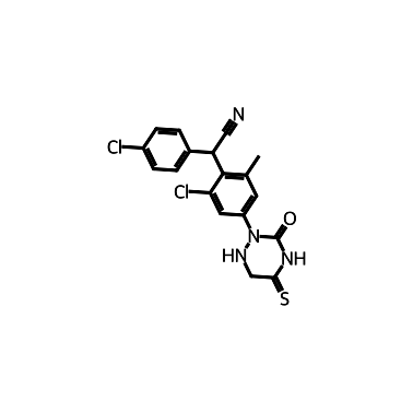 Cc1cc(N2NCC(=S)NC2=O)cc(Cl)c1C(C#N)c1ccc(Cl)cc1